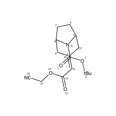 CC(C)(C)OC(=O)N1C2CCC1CC(=CC(=O)OCC#N)C2